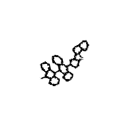 Fc1c2ccccc2c(-c2c3ccccc3c(-c3ccc4oc5c6ccccc6ccc5c4c3)c3ccccc23)c2ccccc12